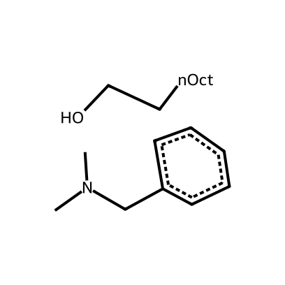 CCCCCCCCCCO.CN(C)Cc1ccccc1